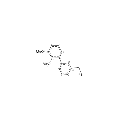 COc1cccc(-c2cccc(CBr)c2)c1OC